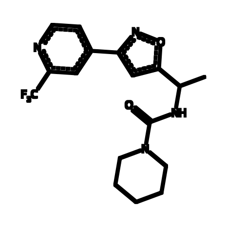 CC(NC(=O)N1CCCCC1)c1cc(-c2ccnc(C(F)(F)F)c2)no1